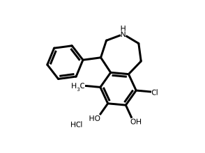 Cc1c(O)c(O)c(Cl)c2c1C(c1ccccc1)CNCC2.Cl